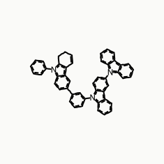 C1=Cc2c(n(-c3ccccc3)c3ccc(-c4cccc(-n5c6ccccc6c6cc(-n7c8ccccc8c8ccccc87)ccc65)c4)cc23)CC1